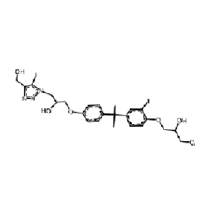 CC(C)(c1ccc(OC[C@@H](O)Cn2nnc(CO)c2I)cc1)c1ccc(OC[C@@H](O)CCl)c(I)c1